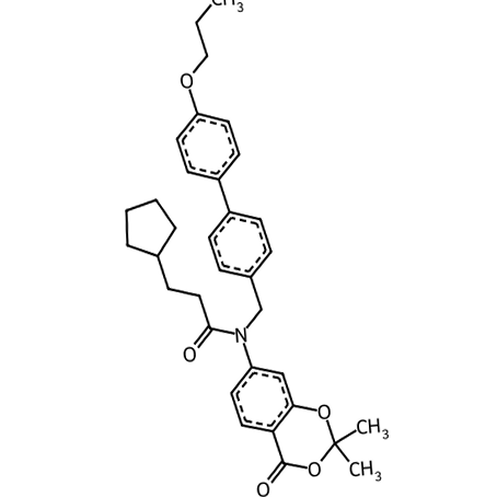 CCCOc1ccc(-c2ccc(CN(C(=O)CCC3CCCC3)c3ccc4c(c3)OC(C)(C)OC4=O)cc2)cc1